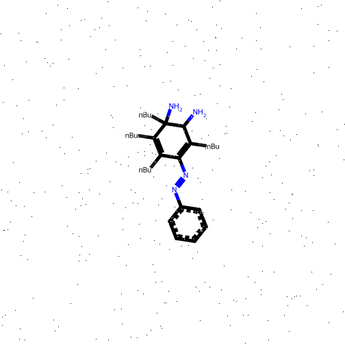 CCCCC1=C(CCCC)C(N)(CCCC)C(N)C(CCCC)=C1N=Nc1ccccc1